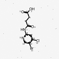 O=C(O)CCC(=O)Nc1cc(Cl)c(Br)cn1